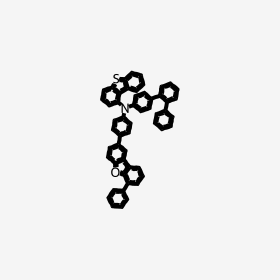 c1ccc(-c2ccccc2-c2ccc(N(c3ccc(-c4ccc5oc6c(-c7ccccc7)cccc6c5c4)cc3)c3cccc4sc5ccccc5c34)cc2)cc1